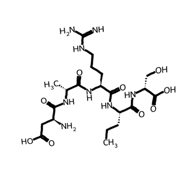 CCC[C@H](NC(=O)[C@H](CCCNC(=N)N)NC(=O)[C@@H](C)NC(=O)[C@@H](N)CC(=O)O)C(=O)N[C@H](CO)C(=O)O